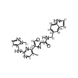 Cc1cnc(Nc2ccnn2C)nc1-c1coc(C(=O)NCc2ccc3[nH]ccc3c2)n1